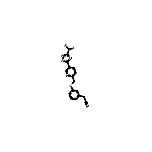 N#CCc1cccc(OCc2ccc(-c3nnc(C(F)F)o3)cn2)c1